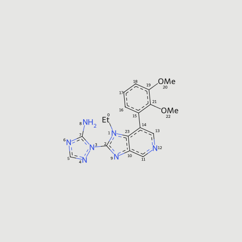 CCn1c(-n2ncnc2N)nc2cncc(-c3cccc(OC)c3OC)c21